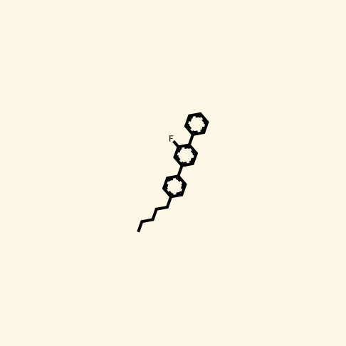 CCCCCc1ccc(-c2ccc(-c3ccccc3)c(F)c2)cc1